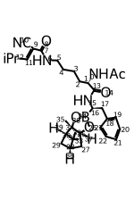 CC(=O)N[C@@H](CCCCNC(=O)C(C#N)=CC(C)C)C(=O)N[C@@H](Cc1ccccc1)B1O[C@@H]2C[C@@H]3C[C@@H](C3(C)C)[C@]2(C)O1